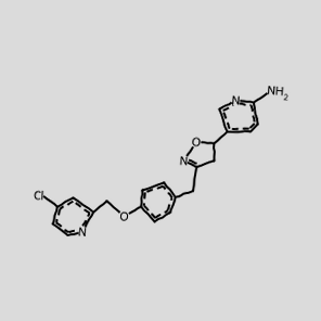 Nc1ccc(C2CC(Cc3ccc(OCc4cc(Cl)ccn4)cc3)=NO2)cn1